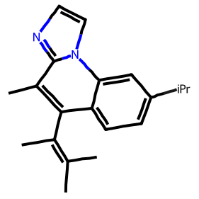 CC(C)=C(C)c1c(C)c2nccn2c2cc(C(C)C)ccc12